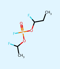 CCC(F)OP(=O)(F)OC(C)F